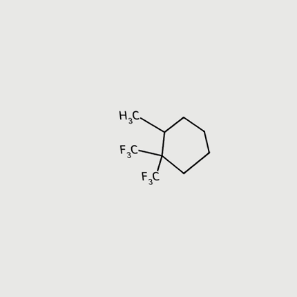 CC1CCCCC1(C(F)(F)F)C(F)(F)F